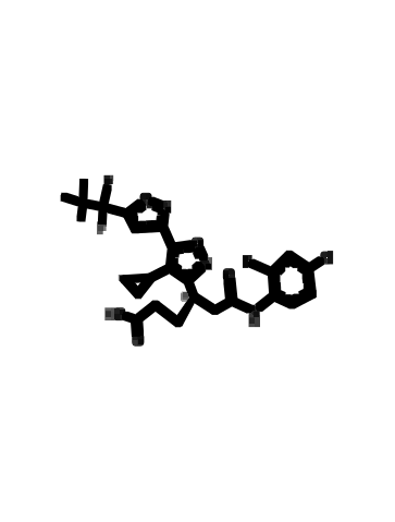 CC(C)(C)C(F)(F)c1cc(-c2onc([C@H](CCC(=O)O)CC(=O)Nc3ccc(Cl)cc3F)c2C2CC2)no1